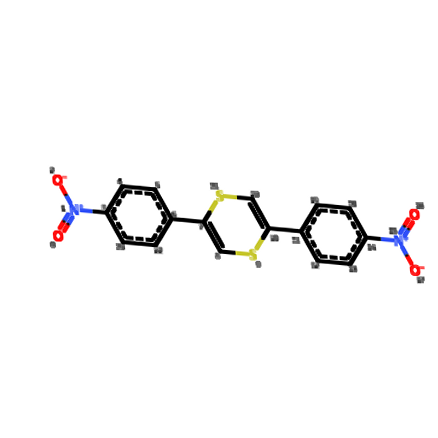 O=[N+]([O-])c1ccc(C2=CSC(c3ccc([N+](=O)[O-])cc3)=CS2)cc1